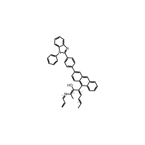 C=C\C=N/C(C)=C(O)/C(=C\C=C\C)c1c2ccccc2cc2cc(-c3ccc(-c4nc5ccccc5n4-c4ccccc4)cc3)ccc12